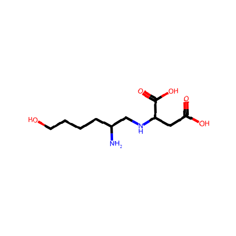 NC(CCCCO)CNC(CC(=O)O)C(=O)O